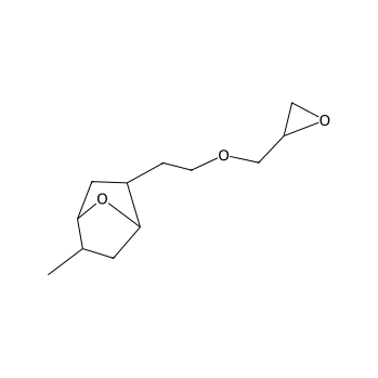 CC1CC2OC1CC2CCOCC1CO1